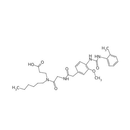 CCCCCCN(CCC(=O)O)C(=O)CNC(=O)Cc1ccc(NC(=O)Nc2ccccc2C)c(OC)c1